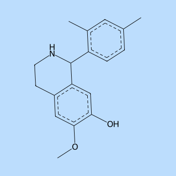 COc1cc2c(cc1O)C(c1ccc(C)cc1C)NCC2